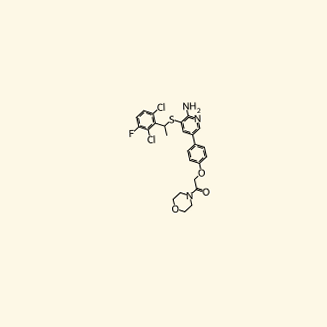 CC(Sc1cc(-c2ccc(OCC(=O)N3CCOCC3)cc2)cnc1N)c1c(Cl)ccc(F)c1Cl